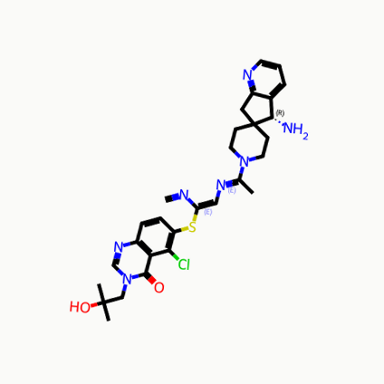 C=N/C(=C\N=C(/C)N1CCC2(CC1)Cc1ncccc1[C@@H]2N)Sc1ccc2ncn(CC(C)(C)O)c(=O)c2c1Cl